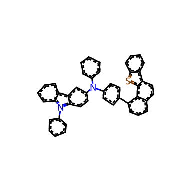 c1ccc(N(c2ccc(-c3cccc4ccc5c6ccccc6sc5c34)cc2)c2ccc3c(c2)c2ccccc2n3-c2ccccc2)cc1